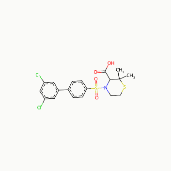 CC1(C)SCCN(S(=O)(=O)c2ccc(-c3cc(Cl)cc(Cl)c3)cc2)C1C(=O)O